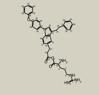 N=C(N)NCCC[C@H](N)C(=O)OC(=O)CCc1ccc2c(c1)c(CCc1ccccc1)cn2-c1ccc(Oc2ccccc2)cc1